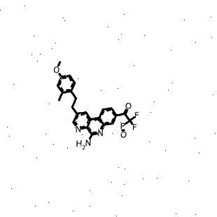 COc1ccc(CCc2cnc3c(N)nc4cc(C(=O)C(F)(F)P=O)ccc4c3c2)c(C)c1